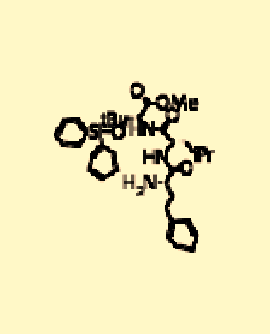 COC(=O)[C@H](CO[Si](c1ccccc1)(c1ccccc1)C(C)(C)C)NC(=O)[C@H](CC(C)C)NC(=O)[C@@H](N)CCc1ccccc1